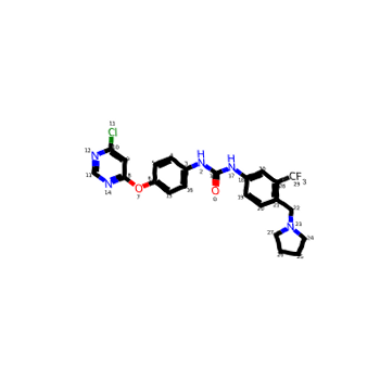 O=C(Nc1ccc(Oc2cc(Cl)ncn2)cc1)Nc1ccc(CN2CCCC2)c(C(F)(F)F)c1